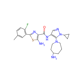 Cc1ccc(F)c(-c2nc(C(=O)Nc3cnn(C4CC4)c3N3CCCC(N)CC3)c(N)s2)c1